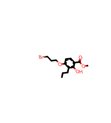 CCCc1c(OCCCBr)ccc(C(=O)OC)c1O